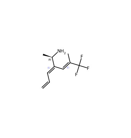 C=C/C=C(\C=C(/C)C(F)(F)F)[C@@H](C)N